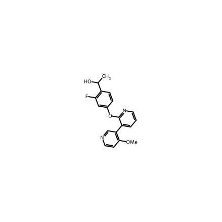 COc1ccncc1-c1cccnc1Oc1ccc(C(C)O)c(F)c1